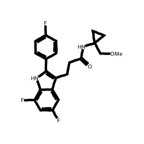 COCC1(NC(=O)CCc2c(-c3ccc(F)cc3)[nH]c3c(F)cc(F)cc23)CC1